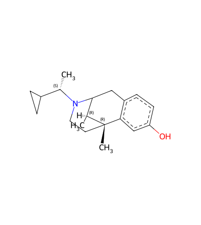 C[C@@H](C1CC1)N1CC[C@@]2(C)c3cc(O)ccc3CC1[C@@H]2C